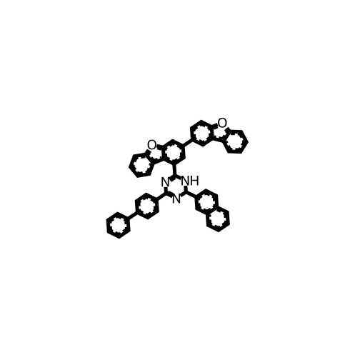 c1ccc(-c2ccc(C3=NC(c4ccc5ccccc5c4)NC(c4cc(-c5ccc6oc7ccccc7c6c5)cc5oc6ccccc6c45)=N3)cc2)cc1